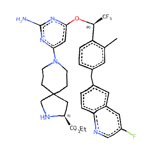 CCOC(=O)[C@@H]1CC2(CCN(c3cc(O[C@H](c4ccc(-c5ccc6ncc(F)cc6c5)cc4C)C(F)(F)F)nc(N)n3)CC2)CN1